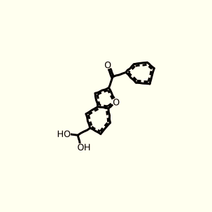 O=C(c1ccccc1)c1cc2cc(C(O)O)ccc2o1